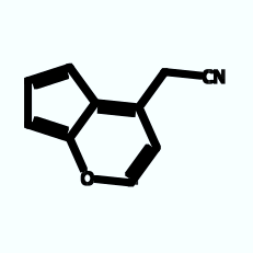 N#CCc1c[c]oc2cccc1-2